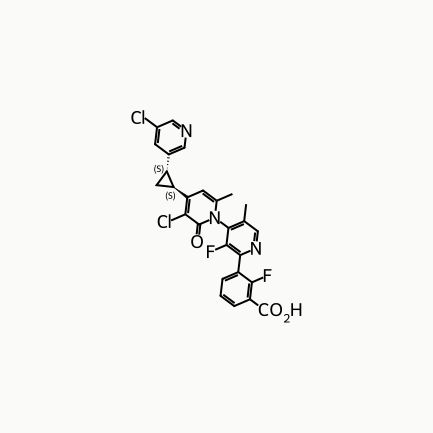 Cc1cnc(-c2cccc(C(=O)O)c2F)c(F)c1-n1c(C)cc([C@H]2C[C@@H]2c2cncc(Cl)c2)c(Cl)c1=O